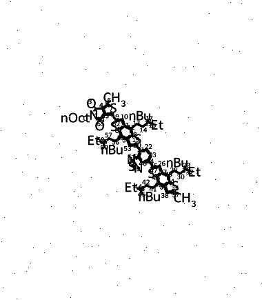 CCCCCCCCN1C(=O)c2c(C)sc(-c3cc4c(CCC(CC)CCCC)c5sc(-c6ccc(-c7cc8c(CCC(CC)CCCC)c9sc(C)cc9c(CCC(CC)CCCC)c8s7)c7nsnc67)cc5c(CCC(CC)CCCC)c4s3)c2C1=O